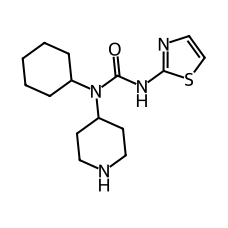 O=C(Nc1nccs1)N(C1CCCCC1)C1CCNCC1